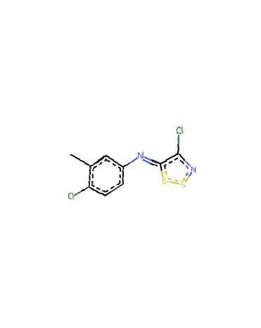 Cc1cc(/N=c2\ssnc2Cl)ccc1Cl